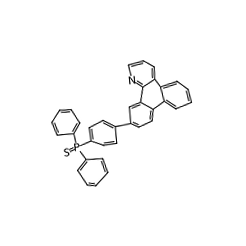 S=P(c1ccccc1)(c1ccccc1)c1ccc(-c2ccc3c4ccccc4c4cccnc4c3c2)cc1